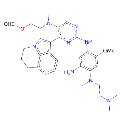 COc1cc(N(C)CCN(C)C)c(N)cc1Nc1ncc(N(C)CCOC=O)c(-c2cn3c4c(cccc24)CCC3)n1